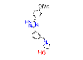 COc1ccc(-c2nc(-c3cccc(CN4CC[C@H](O)C4)c3)n[nH]2)cc1